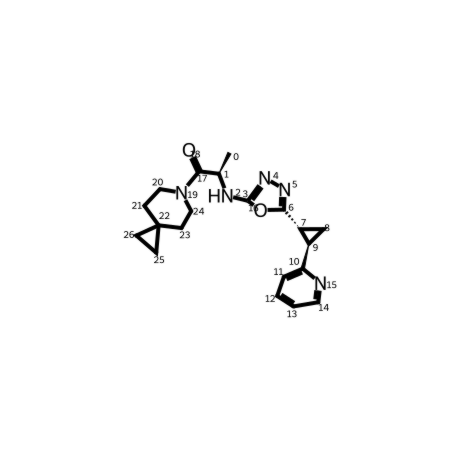 C[C@@H](Nc1nnc([C@@H]2C[C@H]2c2ccccn2)o1)C(=O)N1CCC2(CC1)CC2